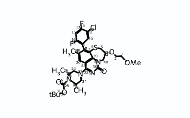 COCCO[C@H]1CSc2c(-c3cc(Cl)c(F)cc3F)c(C)cc3c(N4C[C@@H](C)N(C(=O)OC(C)(C)C)[C@@H](C)C4)nc(=O)n(c23)C1